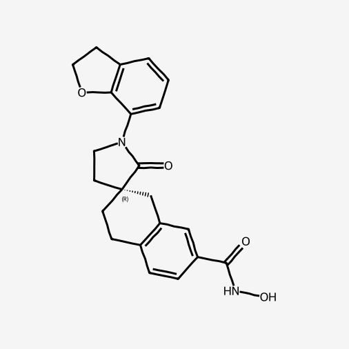 O=C(NO)c1ccc2c(c1)C[C@]1(CC2)CCN(c2cccc3c2OCC3)C1=O